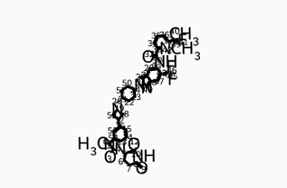 Cn1c(=O)n(C2CCC(=O)NC2=O)c2ccc(C3CN(C[C@H]4CC[C@H](n5cc6cc(NC(=O)c7cccc(C(C)(C)F)n7)c(C(F)F)cc6n5)CC4)C3)cc21